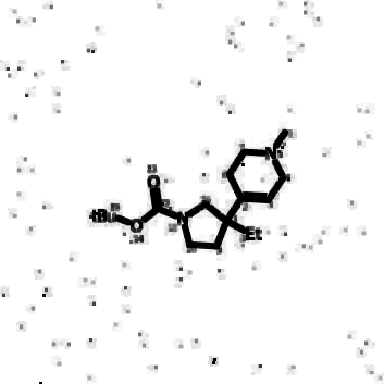 CCC1(C2=CCN(C)CC2)CCN(C(=O)OC(C)(C)C)C1